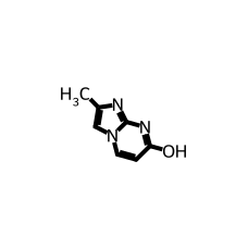 Cc1cn2ccc(O)nc2n1